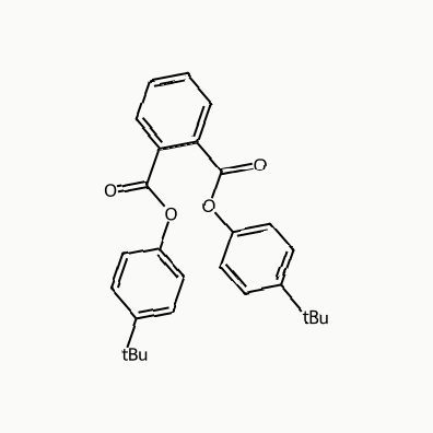 CC(C)(C)c1ccc(OC(=O)c2ccccc2C(=O)Oc2ccc(C(C)(C)C)cc2)cc1